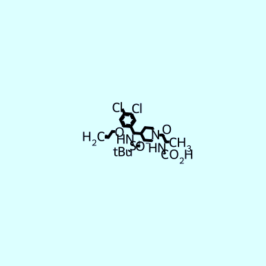 C=CCOc1cc(Cl)c(Cl)cc1C(N[S+]([O-])C(C)(C)C)C1CCN(C(=O)C(C)NC(=O)O)CC1